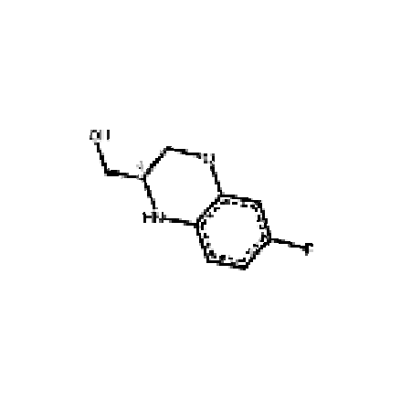 OC[C@H]1COc2cc(F)ccc2N1